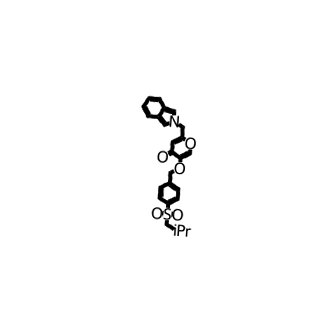 CC(C)CS(=O)(=O)c1ccc(COc2coc(Cn3cc4ccccc4c3)cc2=O)cc1